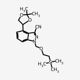 CC1(C)OCC(c2cccc3c2c(C#N)nn3COCC[Si](C)(C)C)O1